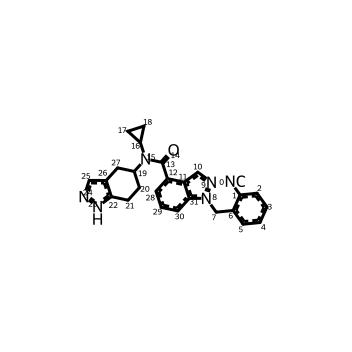 N#Cc1ccccc1Cn1ncc2c(C(=O)N(C3CC3)C3CCc4[nH]ncc4C3)cccc21